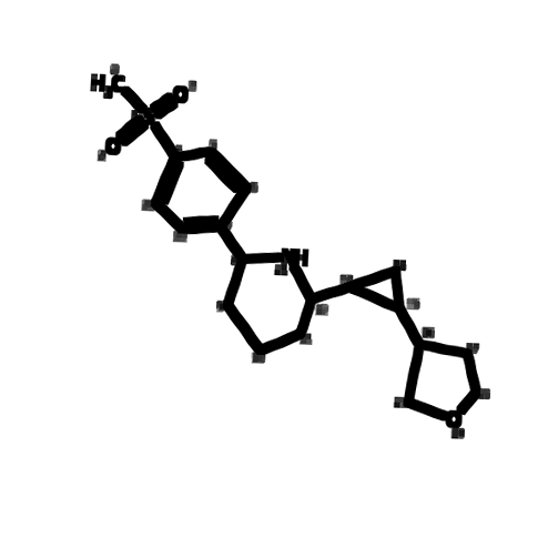 CS(=O)(=O)c1ccc(C2CCCC(C3CC3C3CCOC3)N2)cc1